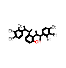 CCc1ccc(C(C)C(C)c2cccc(O)c2C(C)C(C)c2ccc(CC)c(CC)c2CC)c(CC)c1CC